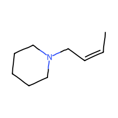 C/C=C\CN1CCCCC1